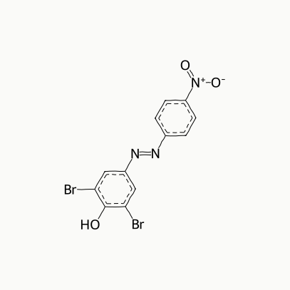 O=[N+]([O-])c1ccc(/N=N/c2cc(Br)c(O)c(Br)c2)cc1